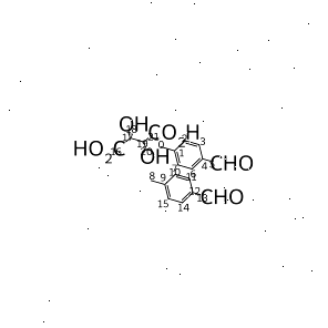 Cc1ccc(C=O)cc1.Cc1ccc(C=O)cc1.O=C(O)C(O)C(O)C(=O)O